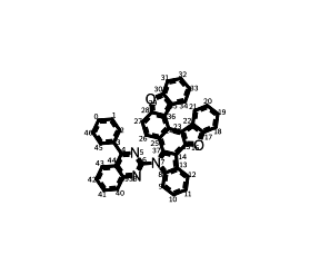 c1ccc(-c2nc(-n3c4ccccc4c4c5oc6ccccc6c5c5c(ccc6oc7ccccc7c65)c43)nc3ccccc23)cc1